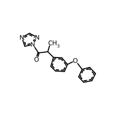 CC(C(=O)n1cncn1)c1cccc(Oc2ccccc2)c1